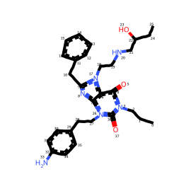 CCCn1c(=O)c2c(nc(Cc3ccccc3)n2CCNCC(O)CC)n(CCc2ccc(N)cc2)c1=O